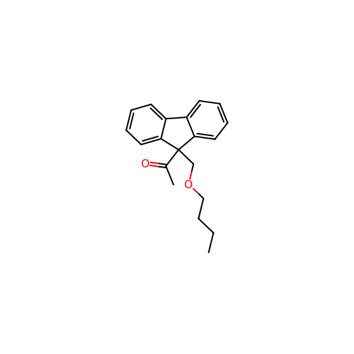 CCCCOCC1(C(C)=O)c2ccccc2-c2ccccc21